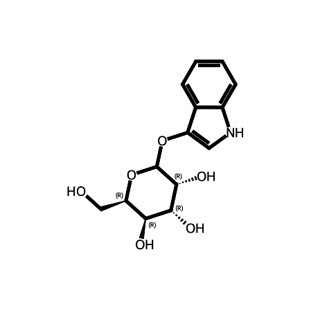 OC[C@H]1OC(Oc2c[nH]c3ccccc23)[C@H](O)[C@H](O)[C@H]1O